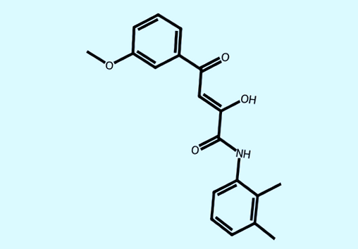 COc1cccc(C(=O)/C=C(\O)C(=O)Nc2cccc(C)c2C)c1